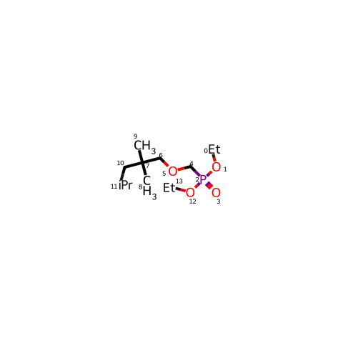 CCOP(=O)(COCC(C)(C)CC(C)C)OCC